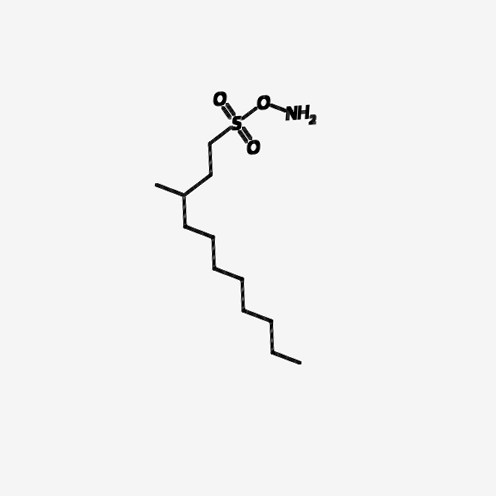 CCCCCCCCC(C)CCS(=O)(=O)ON